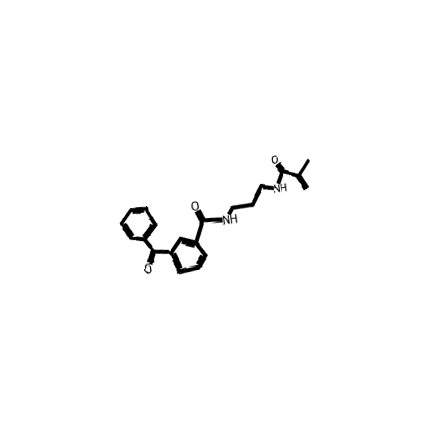 C=C(C)C(=O)NCCCNC(=O)c1cccc(C(=O)c2ccccc2)c1